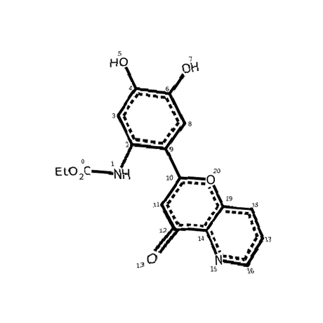 CCOC(=O)Nc1cc(O)c(O)cc1-c1cc(=O)c2ncccc2o1